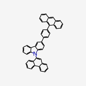 c1ccc2c(-c3ccc(-c4ccc5c(c4)c4ccccc4n5-c4cc5ccccc5c5ccccc45)cc3)c3ccccc3cc2c1